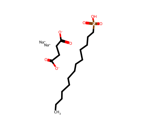 CCCCCCCCCCCCCS(=O)(=O)O.O=C([O-])CCC(=O)[O-].[Na+].[Na+]